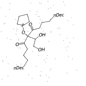 CCCCCCCCCCCCCC(=O)C(OP1CCCC1)(C(=O)CCCCCCCCCCCCC)C(O)CO